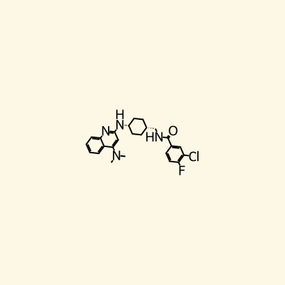 CN(C)c1cc(N[C@H]2CC[C@@H](CNC(=O)c3ccc(F)c(Cl)c3)CC2)nc2ccccc12